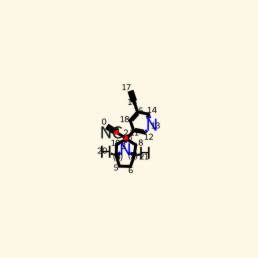 C#CCN1[C@@H]2CC[C@H]1C[C@@](C#N)(c1cncc(C#C)c1)C2